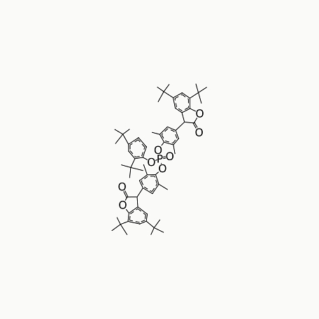 Cc1cc(C2C(=O)Oc3c2cc(C(C)(C)C)cc3C(C)(C)C)cc(C)c1OP(=O)(Oc1ccc(C(C)(C)C)cc1C(C)(C)C)Oc1c(C)cc(C2C(=O)Oc3c2cc(C(C)(C)C)cc3C(C)(C)C)cc1C